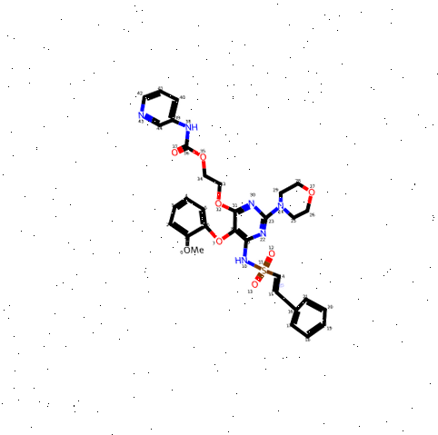 COc1ccccc1Oc1c(NS(=O)(=O)/C=C/c2ccccc2)nc(N2CCOCC2)nc1OCCOC(=O)Nc1cccnc1